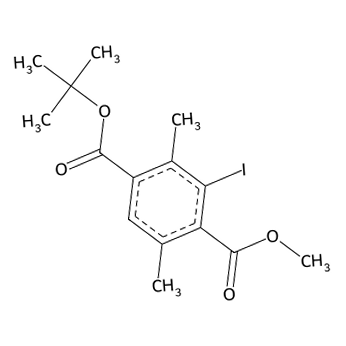 COC(=O)c1c(C)cc(C(=O)OC(C)(C)C)c(C)c1I